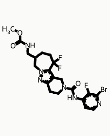 COC(=O)NCC1CCC(F)(F)c2c3c(nn2C1)CCN(C(=O)Nc1ccnc(Br)c1F)C3